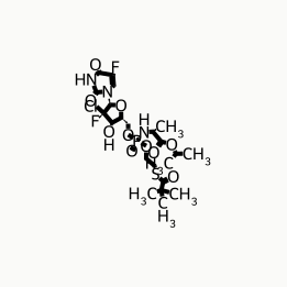 CC(C)OC(=O)[C@@H](C)NP(=O)(OCCSC(=O)C(C)(C)C)OC[C@H]1O[C@@H](n2cc(F)c(=O)[nH]c2=O)[C@](F)(Cl)[C@@H]1O